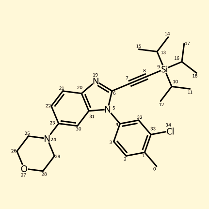 Cc1ccc(-n2c(C#C[Si](C(C)C)(C(C)C)C(C)C)nc3ccc(N4CCOCC4)cc32)cc1Cl